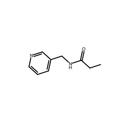 C[CH]C(=O)NCc1cccnc1